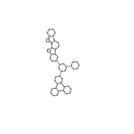 c1ccc(-c2cc(-c3ccc4oc5c(ccc6c7ccccc7oc65)c4c3)cc(-c3ccc4c5ccccc5c5ccccc5c4c3)c2)cc1